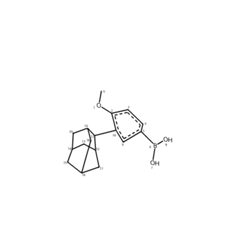 COc1ccc(B(O)O)cc1C1C2CC3CC(C2)CC1C3